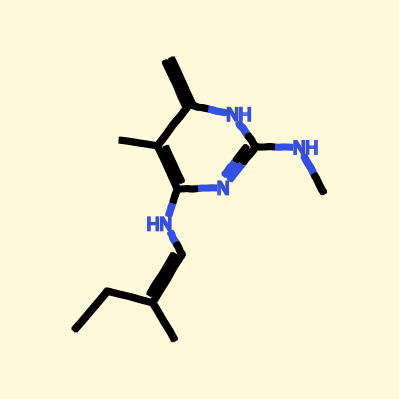 C=C1NC(NC)=NC(N/C=C(/C)CC)=C1C